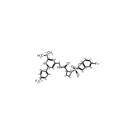 CN(C)c1nc(CNC(=O)C2CCN2S(=O)(=O)c2cc3cc(F)ccc3o2)cc(-c2ccc(C(F)(F)F)cc2)n1